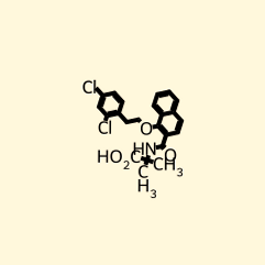 CC(C)(NC(=O)c1ccc2ccccc2c1OCCc1ccc(Cl)cc1Cl)C(=O)O